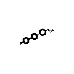 COC[C@H]1CC[C@H](c2ccc(-c3ccc(I)cc3)cc2)CC1